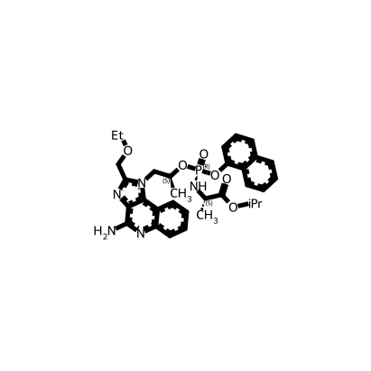 CCOCc1nc2c(N)nc3ccccc3c2n1C[C@H](C)O[P@](=O)(N[C@@H](C)C(=O)OC(C)C)Oc1cccc2ccccc12